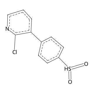 O=[SH](=O)c1ccc(-c2cccnc2Cl)cc1